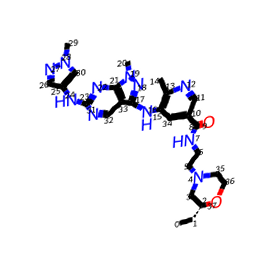 CC[C@@H]1CN(CCNC(=O)c2cnc(C)c(Nc3nn(C)c4nc(Nc5cnn(C)c5)ncc34)c2)CCO1